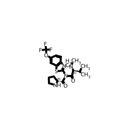 CC(C)[C@@H](C(=O)N(C(=O)[C@H]1CCCN1)c1nc2ccc(OC(F)(F)F)cc2s1)N(C)C